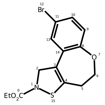 CCOC(=O)N1CC2=C(CCOc3ccc(Br)cc32)S1